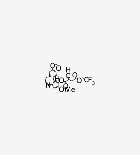 COC1=CC23CCCN2CCc2cc4c(cc2[C@@H]3C1OC(=O)C(O)CC(=O)OCC(F)(F)F)OCO4